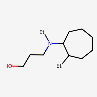 CCC1CCCCCC1N(CC)CCCO